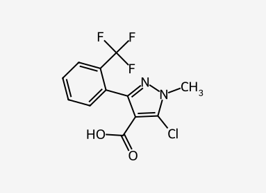 Cn1nc(-c2ccccc2C(F)(F)F)c(C(=O)O)c1Cl